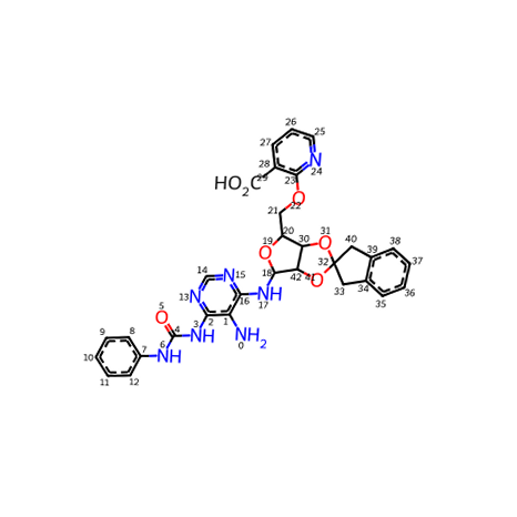 Nc1c(NC(=O)Nc2ccccc2)ncnc1NC1OC(COc2ncccc2C(=O)O)C2OC3(Cc4ccccc4C3)OC12